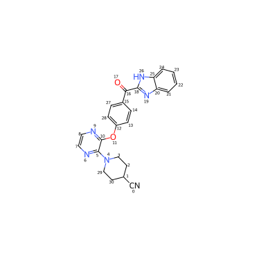 N#CC1CCN(c2nccnc2Oc2ccc(C(=O)c3nc4ccccc4[nH]3)cc2)CC1